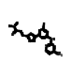 Cc1cc(Nc2nccc(C(F)(F)F)n2)cc(-c2cnc(CCC(=O)N(C)C)s2)c1